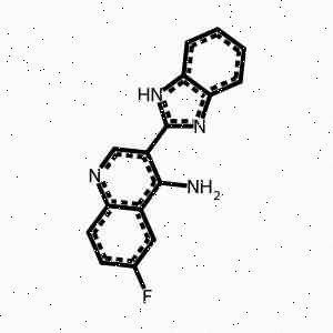 Nc1c(-c2nc3ccccc3[nH]2)cnc2ccc(F)cc12